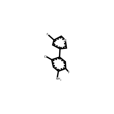 Nc1cc(Cl)c(-c2cncc(F)c2)cc1F